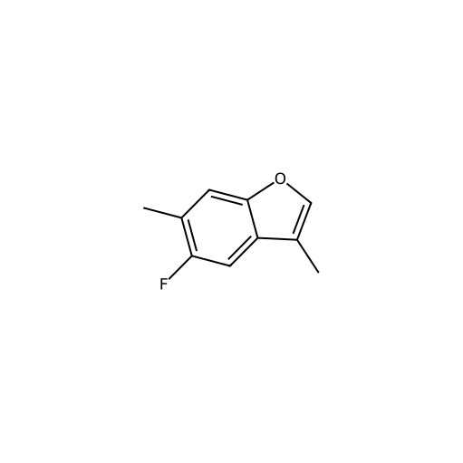 Cc1cc2occ(C)c2cc1F